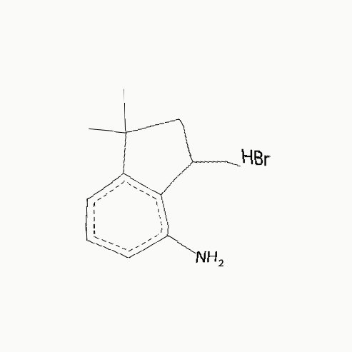 Br.CC1CC(C)(C)c2cccc(N)c21